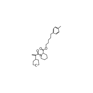 C=C(C(=O)N1CCCCC1C(=O)OCCCCCc1ccc(C)cc1)C1CCCCC1